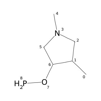 CC1CN(C)CC1OP